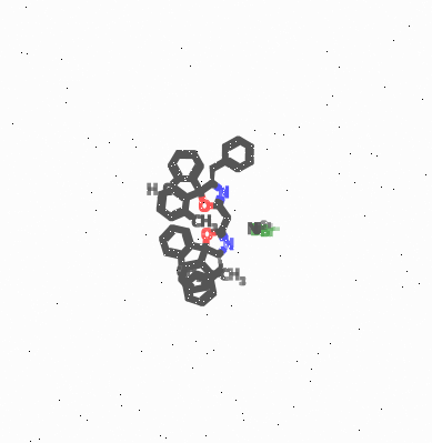 Cc1ccccc1C1(c2ccccc2C)OC(CC2=N[C@H](Cc3ccccc3)C(c3ccccc3C)(c3ccccc3C)O2)=N[C@@H]1Cc1ccccc1.[Br-].[Br-].[Ni+2]